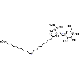 CCCCCCCCCCCCCCCCCC/C=C\CCCCCCCCC(=O)N[C@@H](/C=C/[C@H]1OC(CO)[C@H](O)C(O)C1O)[C@H](O)[C@H](O)CCCCCCCCCC